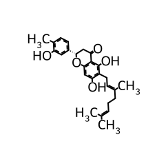 CC(C)=CCC/C(C)=C/Cc1c(O)cc2c(c1O)C(=O)C[C@@H](c1ccc(C)c(O)c1)O2